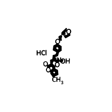 Cc1ccc2cc(CC(CCc3ccc(OCCN4CCOCC4)cc3)C(=O)NO)c(=O)oc2c1.Cl